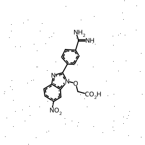 N=C(N)c1ccc(-c2nc3ccc([N+](=O)[O-])cc3n2OCC(=O)O)cc1